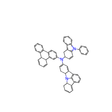 C1=CCC2C(=C1)c1cccc3c1N2C1CC=C(N(c2ccc4c(c2)C2C=CC=CC2c2ccccc2-4)C2C=Cc4c(c5ccccc5n4-c4ccccc4)C2)C=C31